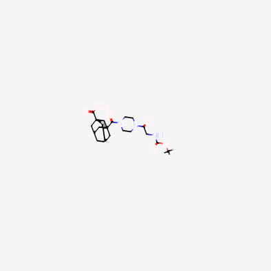 CC(C)(C)OC(=O)NCC(=O)N1CCN(C(=O)C23CC4CC(CC(C(=O)O)(C4)C2)C3)CC1